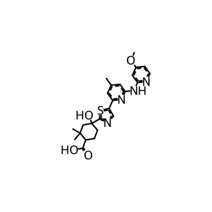 COc1ccnc(Nc2cc(C)cc(-c3cnc(C4(O)CCC(C(=O)O)C(C)(C)C4)s3)n2)c1